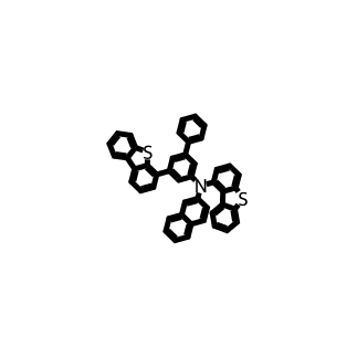 c1ccc(-c2cc(-c3cccc4c3sc3ccccc34)cc(N(c3ccc4ccccc4c3)c3cccc4sc5ccccc5c34)c2)cc1